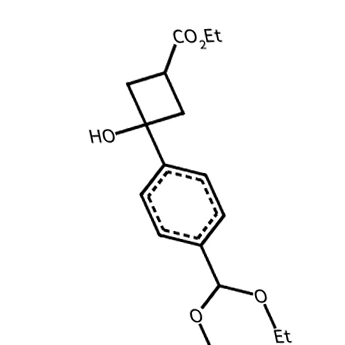 CCOC(=O)C1CC(O)(c2ccc(C(OCC)OCC)cc2)C1